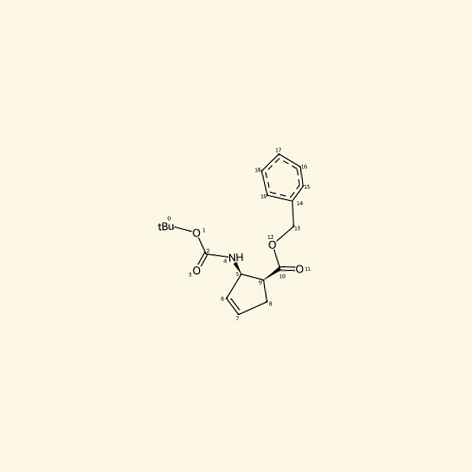 CC(C)(C)OC(=O)N[C@@H]1C=CC[C@@H]1C(=O)OCc1ccccc1